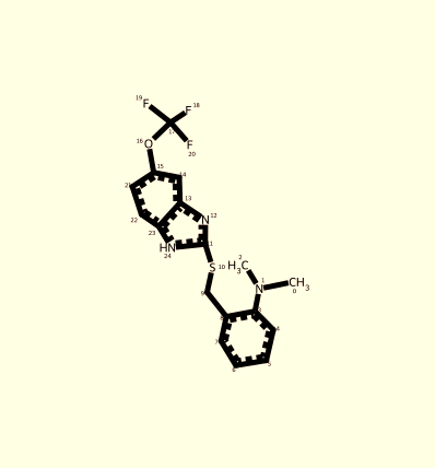 CN(C)c1ccccc1CSc1nc2cc(OC(F)(F)F)ccc2[nH]1